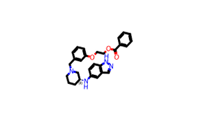 O=C(OCCOc1cccc(CN2CCC[C@@H](Nc3ccc4[nH]ncc4c3)C2)c1)c1ccccc1